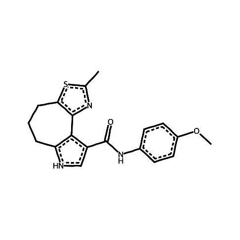 COc1ccc(NC(=O)c2c[nH]c3c2-c2nc(C)sc2CCC3)cc1